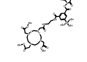 CCC[CH2][Sn]([CH2]CCC)([CH2]CCC)[c]1cc(C(=O)NCCNC(=O)CN2CCN(CC(=O)OC(C)(C)C)CCN(CC(=O)OC(C)(C)C)CCN(CC(=O)OC(C)(C)C)CC2)cc(C(=O)ON2C(=O)CCC2=O)c1